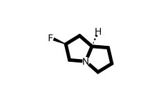 F[C@H]1C[C@H]2CCCN2C1